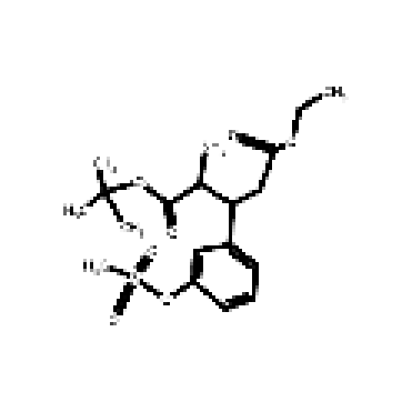 CCOC(=O)CC(c1cccc(OS(C)(=O)=O)c1)C(N)C(=O)OC(C)(C)C